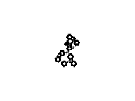 c1ccc(-n2c3ccccc3c3ccc(N(c4ccc5c(c4)Sc4ccccc4C54c5ccccc5-c5cccc6cccc4c56)c4ccc5sc6ccccc6c5c4)cc32)cc1